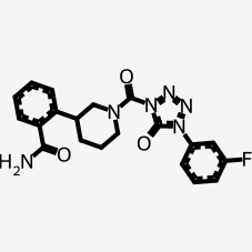 NC(=O)c1ccccc1C1CCCN(C(=O)n2nnn(-c3cccc(F)c3)c2=O)C1